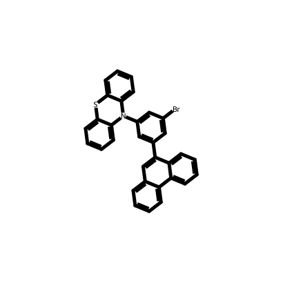 Brc1cc(-c2cc3ccccc3c3ccccc23)cc(N2c3ccccc3Sc3ccccc32)c1